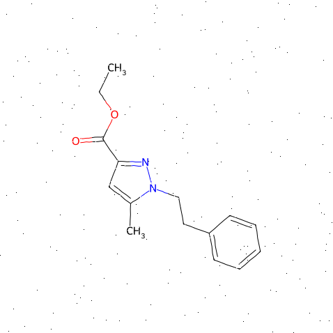 CCOC(=O)c1cc(C)n(CCc2ccccc2)n1